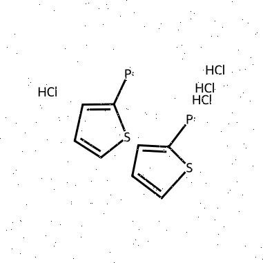 Cl.Cl.Cl.Cl.[P]c1cccs1.[P]c1cccs1